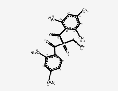 COc1ccc(C(=O)P(=O)(CC(C)C)C(=O)c2c(C)cc(C)cc2C)c(OC)c1